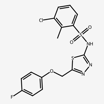 Cc1c(Cl)cccc1S(=O)(=O)Nc1nnc(COc2ccc(F)cc2)s1